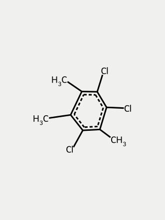 Cc1c(C)c(Cl)c(Cl)c(C)c1Cl